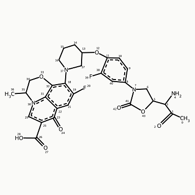 CC(=O)C(N)C1CN(c2ccc(OC3CCCN(c4c(F)cc5c(=O)c(C(=O)O)cn6c5c4OCC6C)C3)c(F)c2)C(=O)O1